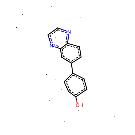 Oc1ccc(-c2ccc3nccnc3c2)cc1